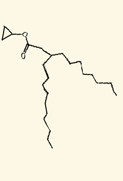 CCCCCCCCCCC(CCCCCCCC)CC(=O)OC1CC1